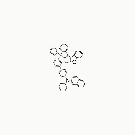 c1ccc(N(c2ccc(-c3ccc4c(c3)C3(c5ccccc5-4)c4ccccc4-c4c3ccc3oc5ccccc5c43)cc2)c2ccc3ccccc3c2)cc1